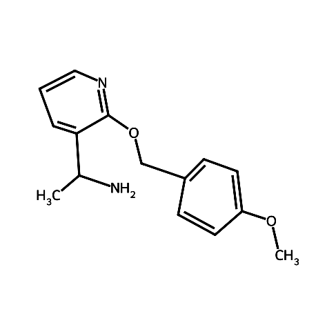 COc1ccc(COc2ncccc2C(C)N)cc1